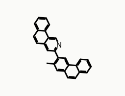 Cc1cc2ccc3ccccc3c2cc1-c1cc2ccc3ccccc3c2cn1